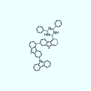 C1=c2sc3cc(-c4cccc5sc6cc(-n7c8ccccc8c8ccccc87)ccc6c45)ccc3c2=C(C2NC(c3ccccc3)=NC(c3ccccc3)N2)CC1